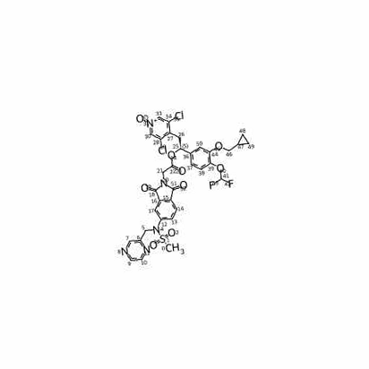 CS(=O)(=O)N(Cc1cnccn1)c1ccc2c(c1)C(=O)N(CC(=O)O[C@@H](Cc1c(Cl)c[n+]([O-])cc1Cl)c1ccc(OC(F)F)c(OCC3CC3)c1)C2=O